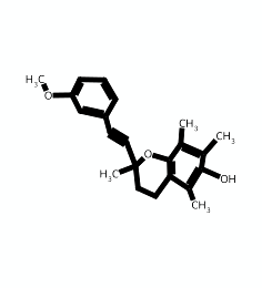 COc1cccc(C#CC2(C)CCc3c(C)c(O)c(C)c(C)c3O2)c1